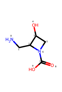 NCC1C(O)CN1C(=O)O